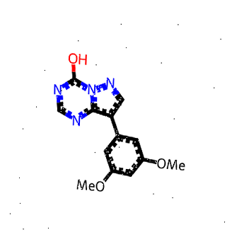 COc1cc(OC)cc(-c2cnn3c(O)ncnc23)c1